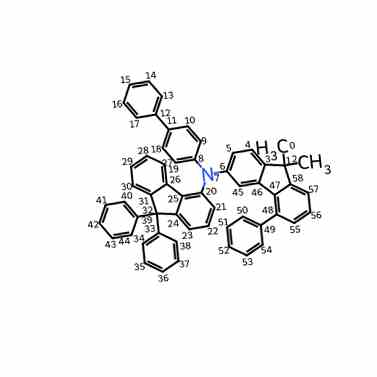 CC1(C)c2ccc(N(c3ccc(-c4ccccc4)cc3)c3cccc4c3-c3ccccc3C4(c3ccccc3)c3ccccc3)cc2-c2c(-c3ccccc3)cccc21